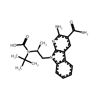 C[C@@H](Cn1c2ccccc2c2cc(C(N)=O)c(N)nc21)N(C(=O)O)C(C)(C)C